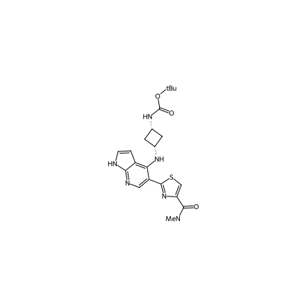 CNC(=O)c1csc(-c2cnc3[nH]ccc3c2N[C@H]2C[C@@H](NC(=O)OC(C)(C)C)C2)n1